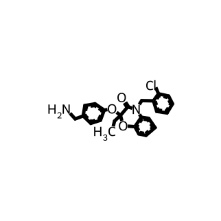 CCC1(Oc2ccc(CN)cc2)Oc2ccccc2N(Cc2ccccc2Cl)C1=O